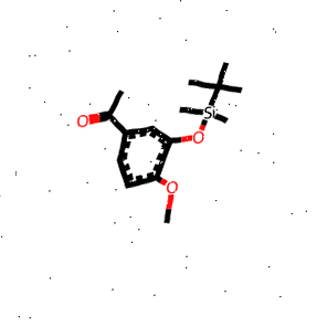 COc1ccc(C(C)=O)cc1O[Si](C)(C)C(C)(C)C